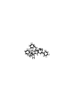 O=S(=O)(NC1Cc2cc(-c3ccccc3)nnc2N(Cc2ccccc2)C1)c1ccccc1